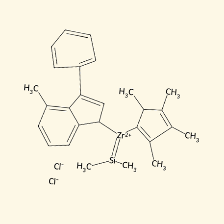 CC1=C(C)C(C)[C]([Zr+2]([CH]2C=C(c3ccccc3)c3c(C)cccc32)=[Si](C)C)=C1C.[Cl-].[Cl-]